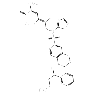 C=C/C(=C\C(OC)=C(/C)CN(c1nccs1)S(=O)(=O)c1ccc2c(c1)OCC[C@@H]2NC(CCC(F)(F)F)c1ccccc1)OC